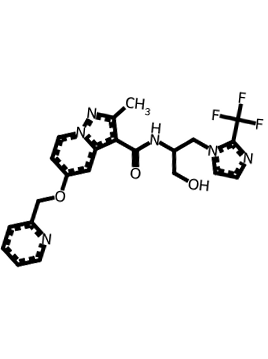 Cc1nn2ccc(OCc3ccccn3)cc2c1C(=O)NC(CO)Cn1ccnc1C(F)(F)F